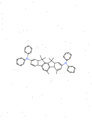 CC1=CC(N(c2ccccc2)c2ccccc2)=CC2C1c1c(C)cc3c(c1C2(C)C)C(C)(C)C1C=C(N(c2ccccc2)c2ccccc2)C=CC31